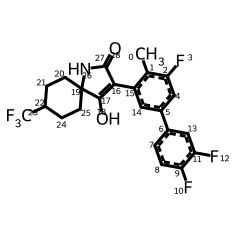 Cc1c(F)cc(-c2ccc(F)c(F)c2)cc1C1=C(O)C2(CCC(C(F)(F)F)CC2)NC1=O